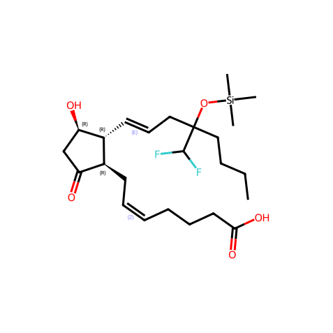 CCCCC(C/C=C/[C@H]1[C@H](O)CC(=O)[C@@H]1C/C=C\CCCC(=O)O)(O[Si](C)(C)C)C(F)F